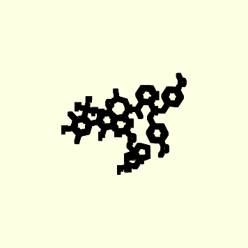 COc1ccc(CN(Cc2ccc(OC)cc2)c2ncccc2C(C)N2CC(C)Oc3nc(-c4cc(C)c(F)c(C)c4C(F)(F)F)c(F)c4nc(OC[C@@]56CCCN5C[C@H](F)C6)nc2c34)cc1